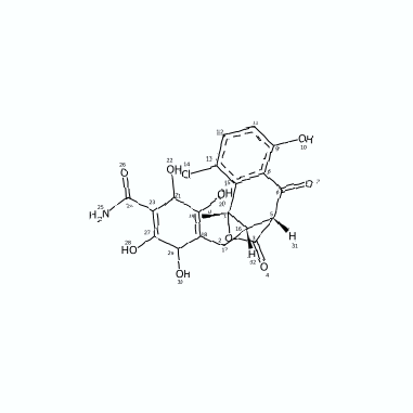 C[C@@]12OC(=O)[C@@H](C(=O)c3c(O)ccc(Cl)c31)[C@@H]2CC1=C(O)C(O)C(C(N)=O)=C(O)C1O